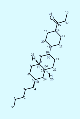 CCCCC[C@H]1CC[C@@H]2C[C@H](C3CCC(C(=O)CC)CC3)CC[C@H]2C1